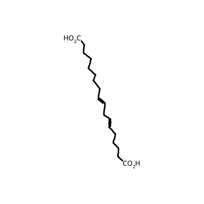 O=C(O)CCCCC=CCC=CCCCCCCCC(=O)O